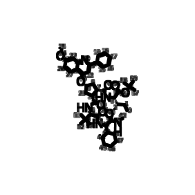 CCC[C@H](NC(=O)[C@@H]1C[C@H](Oc2cc(-c3ccccc3)nc3cc(OC)ccc23)C[C@@H]1C(=O)N[C@H](C(=O)NC(C(=O)NC)C1CCCCC1)C(C)(C)C)C(=O)OC(C)(C)C